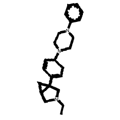 CCN1CC2CC2(C2=CCC(N3CCN(c4ccccc4)CC3)C=C2)C1